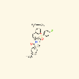 CC[C@@]1(C(=O)N2CC[C@@]3(S(=O)(=O)c4ccc(F)cc4)c4ccc(C(F)(C(F)(F)F)C(F)(F)F)cc4CC[C@@H]23)CC[C@H](C(=O)O)[C@@H](C)C1